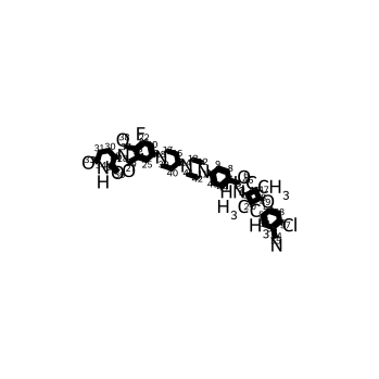 CC1(C)[C@H](NC(=O)c2ccc(N3CCN(C4CCN(c5cc(F)c6c(c5)C(=O)N(C5CCC(=O)NC5=O)C6=O)CC4)CC3)cc2)C(C)(C)[C@H]1Oc1ccc(C#N)c(Cl)c1